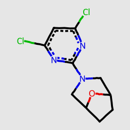 Clc1cc(Cl)nc(N2CC3CCC(C2)O3)n1